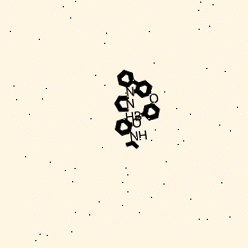 CC(C)Nc1ccccc1OBc1cccc(Oc2ccc3c4ccccc4n(-c4ccccn4)c3c2)c1